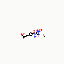 CNC(=O)C(NC(=O)c1ccc(C#CC2CC2CO)cc1)C(=O)NO